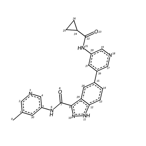 Cc1cncc(NC(=O)c2n[nH]c3ccc(-c4cncc(NC(=O)C5CC5)c4)cc23)c1